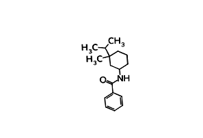 CC(C)C1(C)CCCC(NC(=O)c2ccccc2)C1